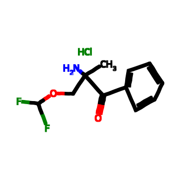 CC(N)(COC(F)F)C(=O)c1ccccc1.Cl